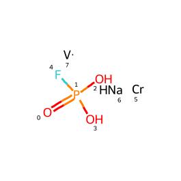 O=P(O)(O)F.[Cr].[NaH].[V]